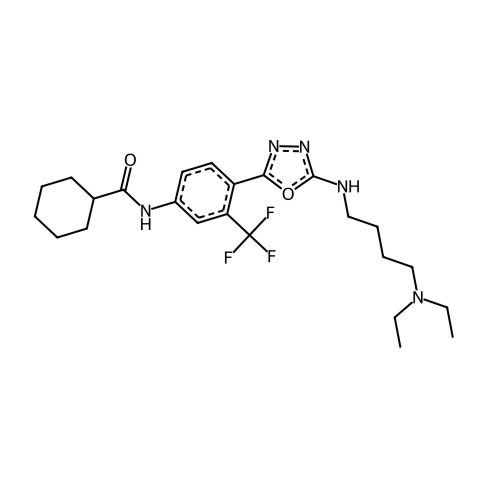 CCN(CC)CCCCNc1nnc(-c2ccc(NC(=O)C3CCCCC3)cc2C(F)(F)F)o1